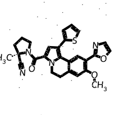 COc1cc2c(cc1-c1ncco1)-c1c(-c3cccs3)cc(C(=O)N3CCC[C@]3(C)C#N)n1CC2